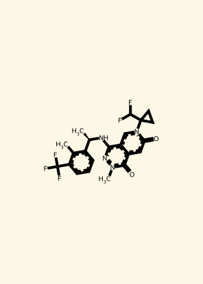 Cc1c([C@@H](C)Nc2nn(C)c(=O)c3cc(=O)n(C4(C(F)F)CC4)cc23)cccc1C(F)(F)F